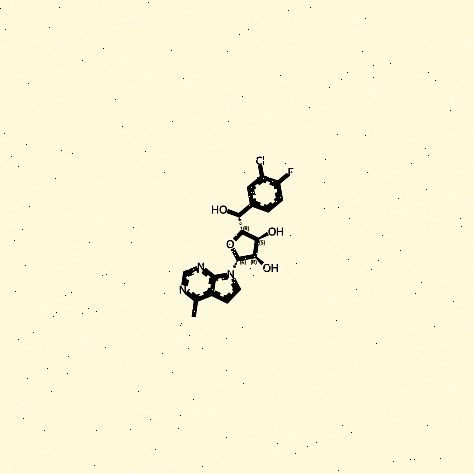 Cc1ncnc2c1ccn2[C@@H]1O[C@H](C(O)c2ccc(F)c(Cl)c2)[C@@H](O)[C@H]1O